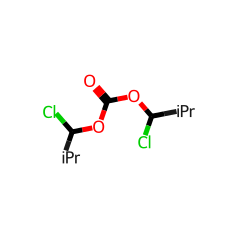 CC(C)C(Cl)OC(=O)OC(Cl)C(C)C